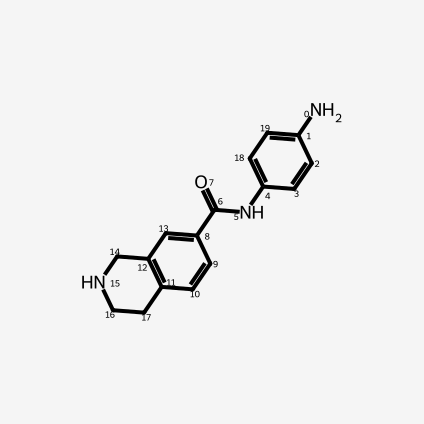 Nc1ccc(NC(=O)c2ccc3c(c2)CNCC3)cc1